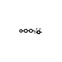 Cc1ccc(OCC2CCC(C3CCC(C4CCCC4)CC3)CC2)c(F)c1F